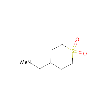 CNCC1CCS(=O)(=O)CC1